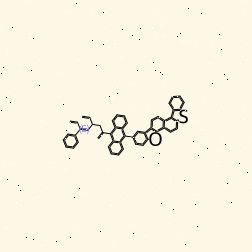 C=C/C(=C\C(C=C)CC(=C)c1c2ccccc2c(-c2ccc3oc4c(ccc5c4ccc4sc6ccccc6c45)c3c2)c2ccccc12)c1ccccc1